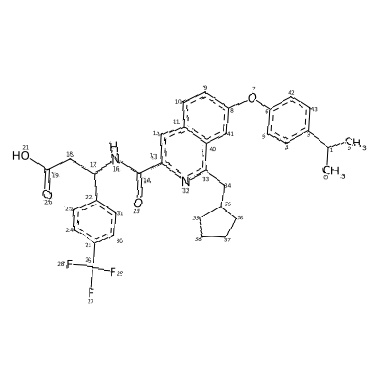 CC(C)c1ccc(Oc2ccc3cc(C(=O)NC(CC(=O)O)c4ccc(C(F)(F)F)cc4)nc(CC4CCCC4)c3c2)cc1